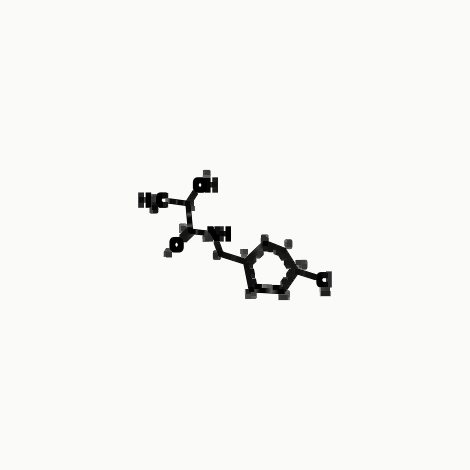 CC(O)C(=O)NCc1ccc(Cl)cc1